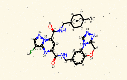 CC(=O)C12CCC(CNC(=O)c3cc(C(=O)NCc4ccc5c(c4)-n4cnnc4CO5)nc4c(F)cnn34)(CC1)CC2